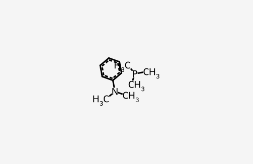 CN(C)c1ccccc1.CP(C)C